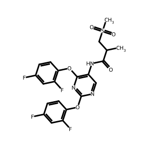 CC(CS(C)(=O)=O)C(=O)Nc1cnc(Oc2ccc(F)cc2F)nc1Oc1ccc(F)cc1F